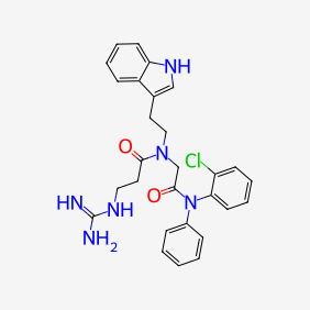 N=C(N)NCCC(=O)N(CCc1c[nH]c2ccccc12)CC(=O)N(c1ccccc1)c1ccccc1Cl